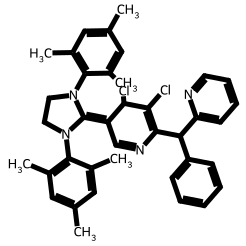 Cc1cc(C)c(N2CCN(c3c(C)cc(C)cc3C)C2=C2C=NC(C(c3ccccc3)c3ccccn3)=C(Cl)C2Cl)c(C)c1